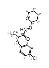 CC(Oc1ccc(Cl)cc1)C(=O)NOC1CCCCO1